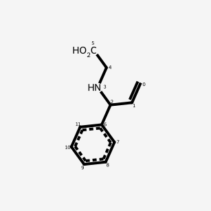 C=CC(NCC(=O)O)c1ccccc1